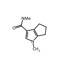 CNC(=O)c1cn(C)c2c1CCC2